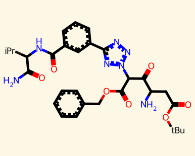 CC(C)C(NC(=O)c1cccc(-c2nnn(C(C(=O)OCc3ccccc3)C(=O)C(N)CC(=O)OC(C)(C)C)n2)c1)C(N)=O